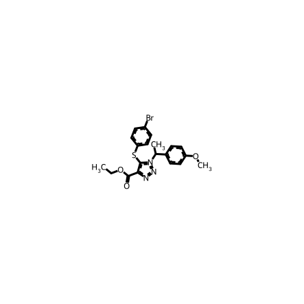 CCOC(=O)c1nnn(C(C)c2ccc(OC)cc2)c1Sc1ccc(Br)cc1